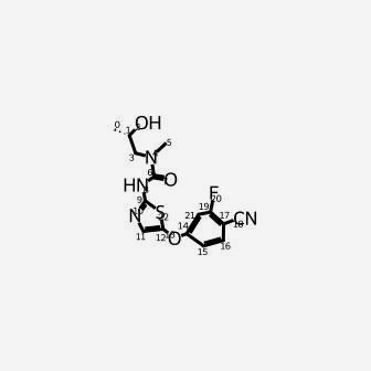 C[C@H](O)CN(C)C(=O)Nc1ncc(Oc2ccc(C#N)c(F)c2)s1